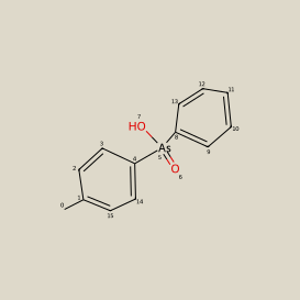 Cc1ccc([As](=O)(O)c2ccccc2)cc1